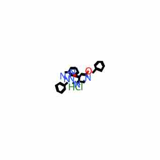 Cl.c1ccc(COc2cc3c(-n4c5ccc6c(c5)c4nn6Cc4ccccc4)ncnc3cn2)cc1